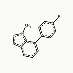 Cn1ccc2cc[c]c(-c3ccc(F)cc3)c21